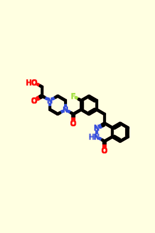 O=C(CO)N1CCN(C(=O)c2cc(Cc3n[nH]c(=O)c4ccccc34)ccc2F)CC1